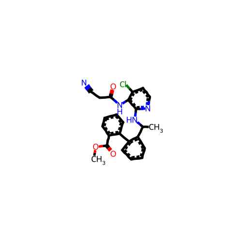 COC(=O)c1ccccc1-c1ccccc1C(C)Nc1nccc(Cl)c1NC(=O)CC#N